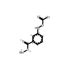 CCC(=O)ONc1cccc(C(=O)OC(C)(C)C)c1